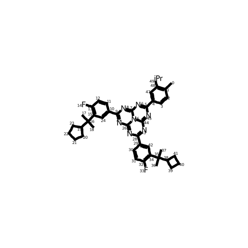 Cc1ccc(C2=NC3=NC(c4ccc(F)c(C(C)(C)C5CCCC5)c4)=NC4=NC(c5ccc(F)c(C(C)(C)C6CCC6)c5)=NC(=N2)N34)cc1C(C)C